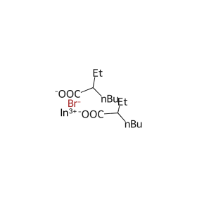 CCCCC(CC)C(=O)[O-].CCCCC(CC)C(=O)[O-].[Br-].[In+3]